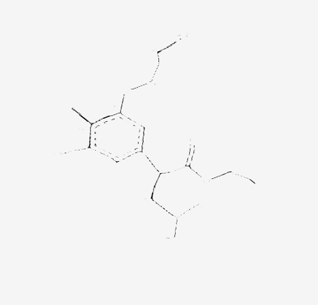 CCOC(=O)C(CC(C)C)c1cc(Cl)c(I)c(OCCF)c1